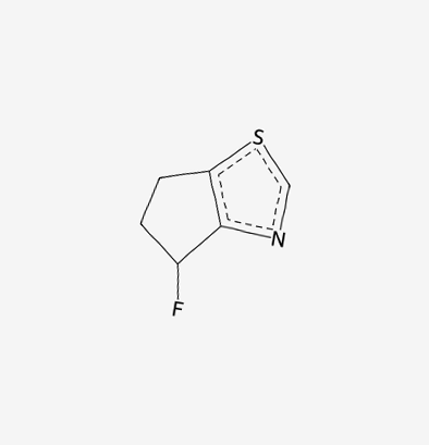 FC1CCc2scnc21